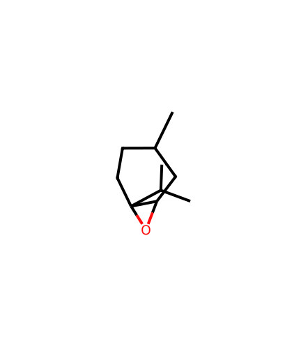 [CH2]C(C)C12CCC(C)CC1O2